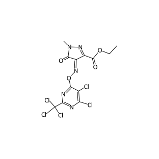 CCOC(=O)C1=NN(C)C(=O)C1=NOc1nc(C(Cl)(Cl)Cl)nc(Cl)c1Cl